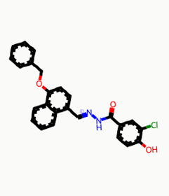 O=C(N/N=C/c1ccc(OCc2ccccc2)c2ccccc12)c1ccc(O)c(Cl)c1